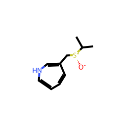 CC(C)[S@+]([O-])CC1=CNC=CC=C1